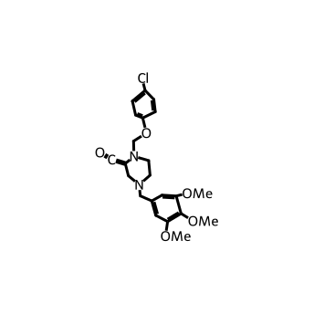 COc1cc(CN2CCN(COc3ccc(Cl)cc3)C(=C=O)C2)cc(OC)c1OC